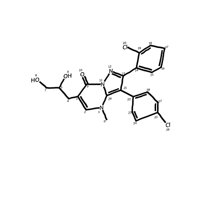 Cn1cc(CC(O)CO)c(=O)n2nc(-c3ccccc3Cl)c(-c3ccc(Cl)cc3)c12